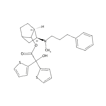 CN(CCCc1ccccc1)[C@H]1CC2CC[C@@H]1C2OC(=O)C(O)(c1cccs1)c1cccs1